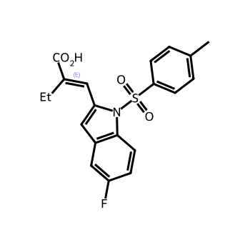 CC/C(=C\c1cc2cc(F)ccc2n1S(=O)(=O)c1ccc(C)cc1)C(=O)O